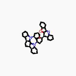 c1ccc(-n2c3ccccc3c3ccc4c5ccccc5n(-c5ccc(-c6c7ccccc7nc7c6oc6ccccc67)cc5)c4c32)cc1